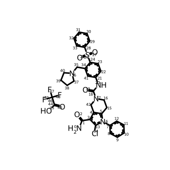 NC(=O)c1c2c(n(-c3ccccc3)c1Cl)CCN(C(=O)Nc1ccc(S(=O)(=O)c3ccccc3)c(CN3CCCC3)c1)C2.O=C(O)C(F)(F)F